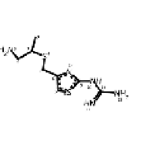 CC(CN)SCc1csc(NC(=N)N)n1